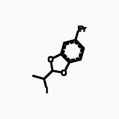 CC(C)c1ccc2c(c1)OC(C(C)I)O2